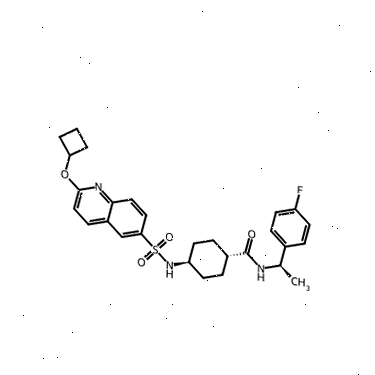 C[C@@H](NC(=O)[C@H]1CC[C@H](NS(=O)(=O)c2ccc3nc(OC4CCC4)ccc3c2)CC1)c1ccc(F)cc1